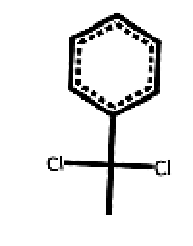 CC(Cl)(Cl)c1ccccc1